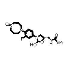 CCCC(=O)NC[C@H]1CN(c2ccc(N3CCC[S+]([O-])CCC3)c(F)c2)C(O)O1